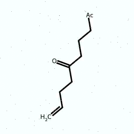 C=CCCC(=O)CCCC(C)=O